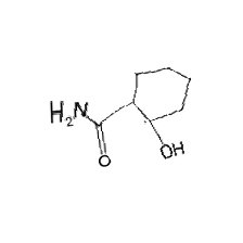 NC(=O)C1CCCC[C]1O